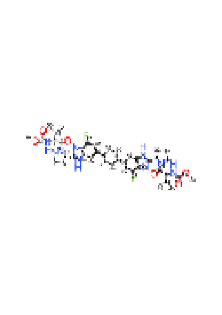 COC(=O)NC(C(=O)N1CCC[C@H]1c1nc2c(F)cc(-c3ccc(-c4cc(F)c5nc([C@@H]6CCCN6C(=O)[C@@H](NC(=O)OC)C(C)C)[nH]c5c4)cc3)cc2[nH]1)C(C)C